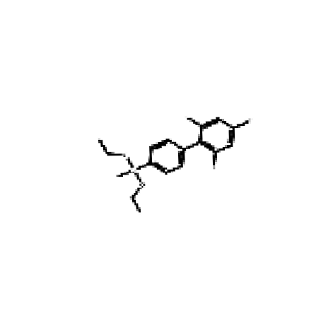 CCO[Si](C)(OCC)c1ccc(-c2c(F)cc(F)cc2F)cc1